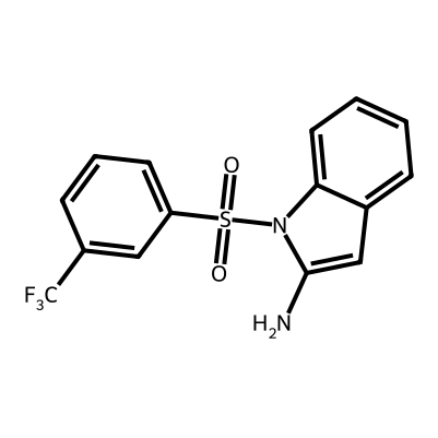 Nc1cc2ccccc2n1S(=O)(=O)c1cccc(C(F)(F)F)c1